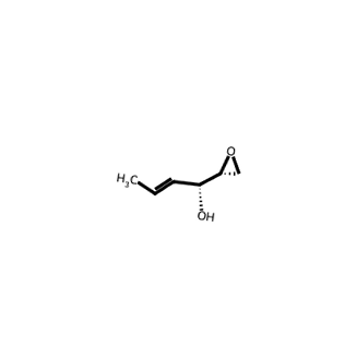 C/C=C/[C@@H](O)[C@H]1CO1